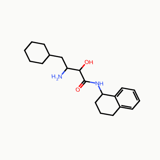 NC(CC1CCCCC1)C(O)C(=O)NC1CCCc2ccccc21